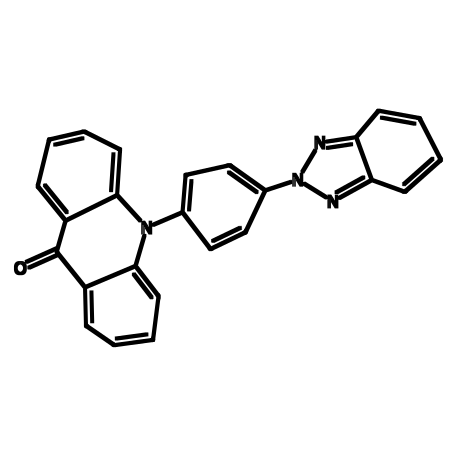 O=c1c2ccccc2n(-c2ccc(-n3nc4ccccc4n3)cc2)c2ccccc12